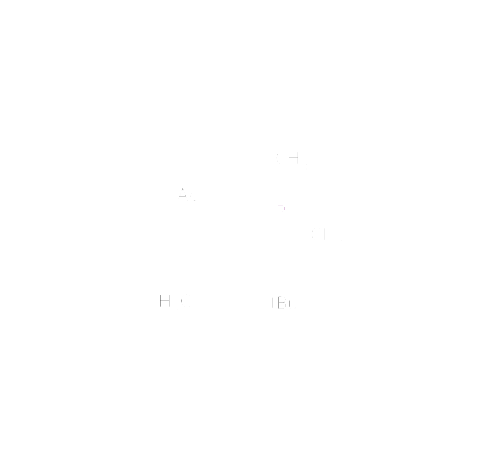 CC(=O)C(C(C)C(C)(C)C)P(C)C